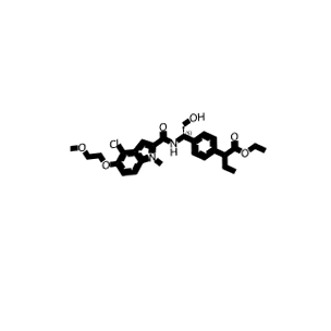 CCOC(=O)C(CC)c1ccc([C@@H](CO)NC(=O)c2cc3c(Cl)c(OCCOC)ccc3n2C)cc1